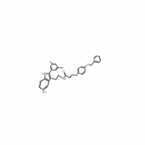 Cc1cc(C)cc(-c2[nH]c3ccc(O)cc3c2CCNC(=O)CCCc2ccc(OCc3ccccc3)cc2)c1